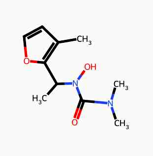 Cc1ccoc1C(C)N(O)C(=O)N(C)C